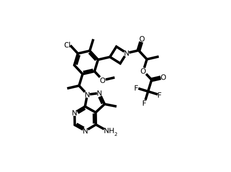 COc1c(C(C)n2nc(C)c3c(N)ncnc32)cc(Cl)c(C)c1C1CN(C(=O)C(C)OC(=O)C(F)(F)F)C1